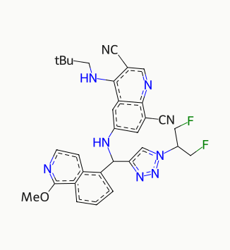 COc1nccc2c(C(Nc3cc(C#N)c4ncc(C#N)c(NCC(C)(C)C)c4c3)c3cn(C(CF)CF)nn3)cccc12